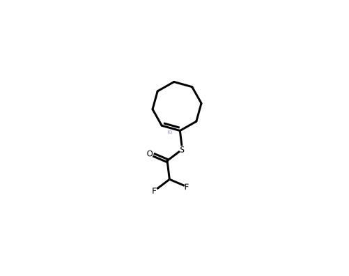 O=C(S/C1=C/CCCCCC1)C(F)F